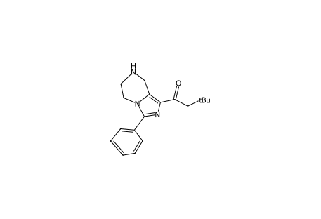 CC(C)(C)CC(=O)c1nc(-c2ccccc2)n2c1CNCC2